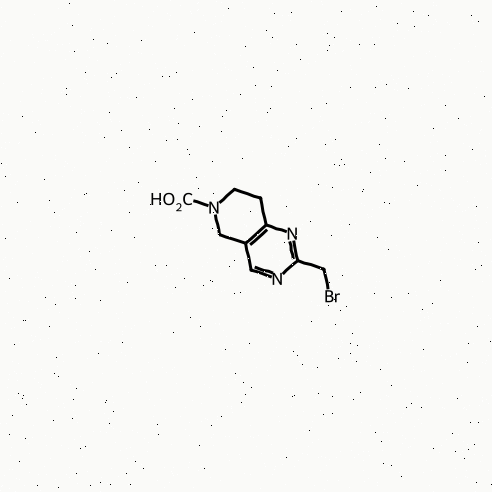 O=C(O)N1CCc2nc(CBr)ncc2C1